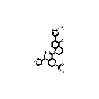 CC(=O)N1CCC(NC2CCOC2)=C(C(=N)N2CCCc3c2ccc(-c2cnn(C)c2)c3Cl)C1